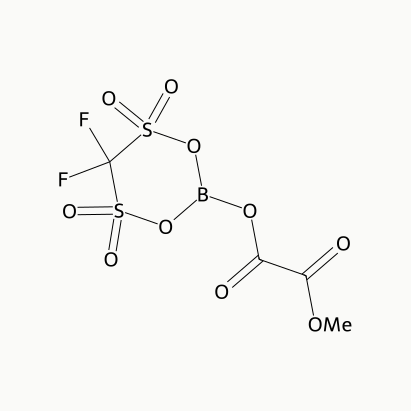 COC(=O)C(=O)OB1OS(=O)(=O)C(F)(F)S(=O)(=O)O1